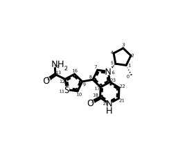 C[C@H]1CCC[C@H]1n1cc(-c2csc(C(N)=O)c2)c2c(=O)[nH]ccc21